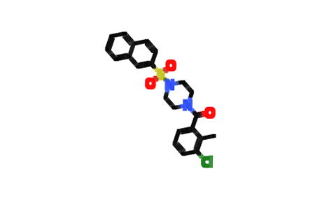 Cc1c(Cl)cccc1C(=O)N1CCN(S(=O)(=O)c2ccc3ccccc3c2)CC1